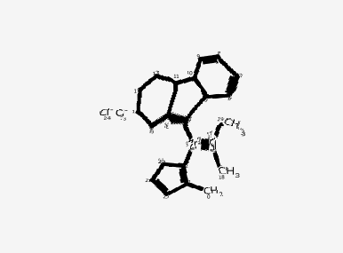 CC1=[C]([Zr+2]([CH]2C3C=CC=CC3C3CCCCC32)=[Si](C)C)CC=C1.[Cl-].[Cl-]